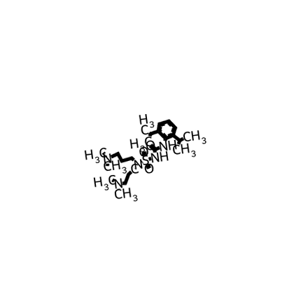 CC(C)c1cccc(C(C)C)c1NC(=O)NS(=O)(=O)N(CCCN(C)C)CCCN(C)C